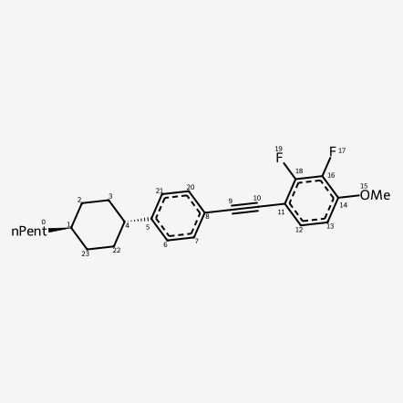 CCCCC[C@H]1CC[C@H](c2ccc(C#Cc3ccc(OC)c(F)c3F)cc2)CC1